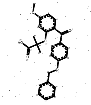 COc1ccc(C(=O)c2ccc(OCc3ccccc3)cc2)c(OC(C)(C)C(=O)O)c1